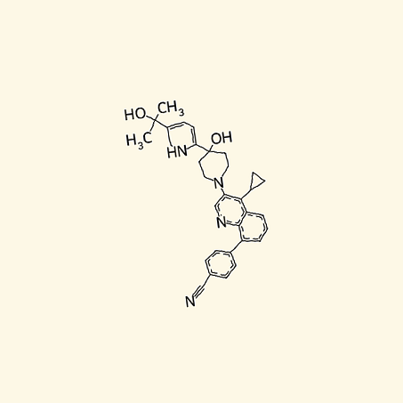 CC(C)(O)C1=CC=C(C2(O)CCN(c3cnc4c(-c5ccc(C#N)cc5)cccc4c3C3CC3)CC2)NC1